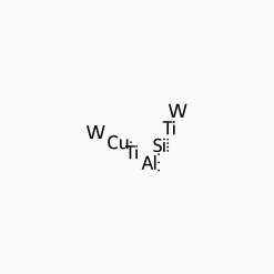 [Al].[Cu].[Si].[Ti].[Ti].[W].[W]